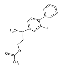 CC(=O)OCCC(C)c1ccc(-c2ccccc2)c(F)c1